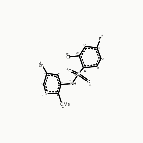 COc1ncc(Br)cc1NS(=O)(=O)c1ccc(F)cc1Cl